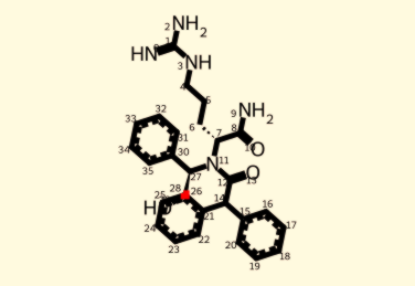 N=C(N)NCCC[C@H](C(N)=O)N(C(=O)C(c1ccccc1)c1ccccc1)[C@@H](CO)c1ccccc1